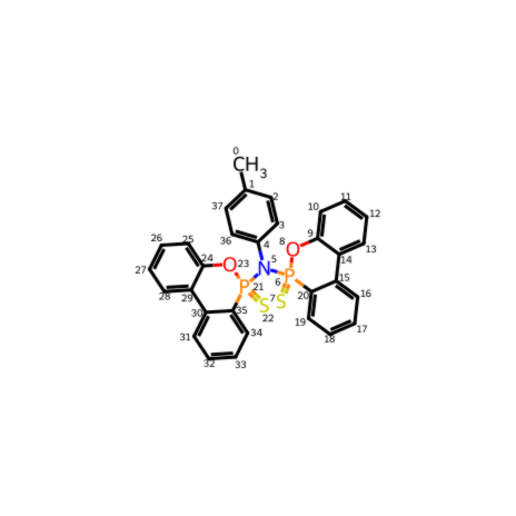 Cc1ccc(N(P2(=S)Oc3ccccc3-c3ccccc32)P2(=S)Oc3ccccc3-c3ccccc32)cc1